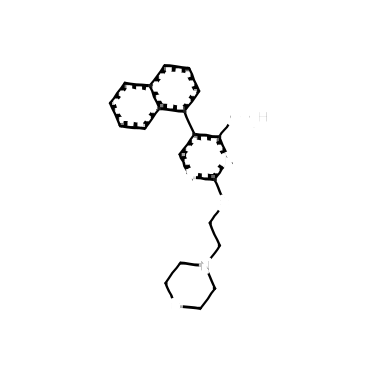 O=C(O)c1nc(OCCN2CCOCC2)ncc1-c1cccc2ccccc12